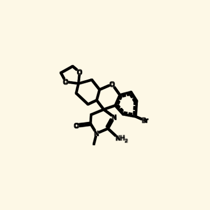 CN1C(=O)CC2(N=C1N)c1cc(Br)ccc1OC1CC3(CCC12)OCCO3